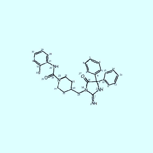 N=C1NC(c2ccccc2)(c2ccccc2)C(=O)N1CC1CCN(C(=O)Nc2ccccc2F)CC1